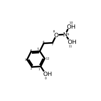 Oc1cccc(CCON(O)O)c1